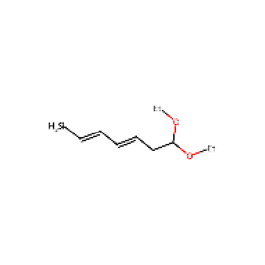 CCOC(CC=CC=C[SiH3])OCC